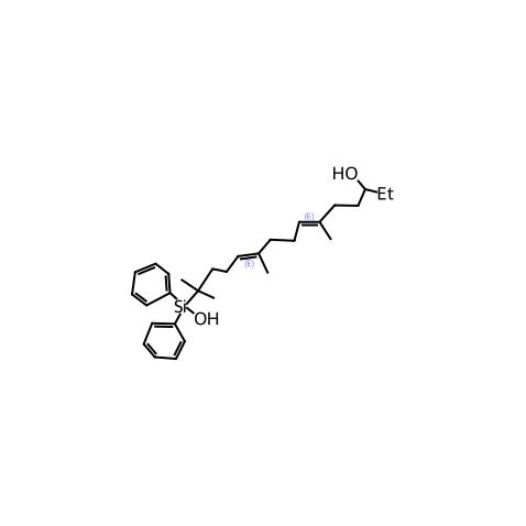 CCC(O)CC/C(C)=C/CC/C(C)=C/CCC(C)(C)[Si](O)(c1ccccc1)c1ccccc1